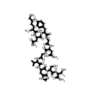 CC(C)C(NC(=O)CNC(=O)C(CC(N)=O)NC(=O)CNC(=O)C(Cc1ccc(O)cc1)NC(=O)C(CC(N)=O)NC(=O)C(N)CCCCN)C(=O)NC(Cc1cnc[nH]1)C(=O)NC(CS)C(=O)NC(C(N)=O)[C@@H](C)O